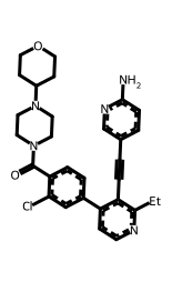 CCc1nccc(-c2ccc(C(=O)N3CCN(C4CCOCC4)CC3)c(Cl)c2)c1C#Cc1ccc(N)nc1